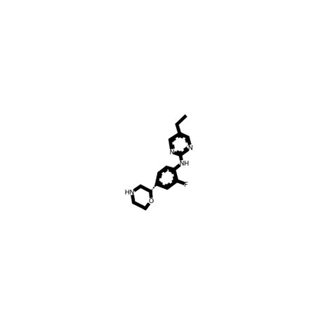 CCc1cnc(Nc2ccc([C@H]3CNCCO3)cc2F)nc1